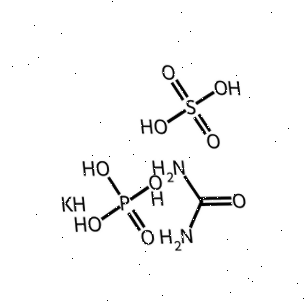 NC(N)=O.O=P(O)(O)O.O=S(=O)(O)O.[KH]